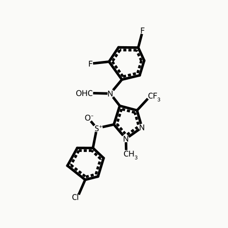 Cn1nc(C(F)(F)F)c(N(C=O)c2ccc(F)cc2F)c1[S+]([O-])c1ccc(Cl)cc1